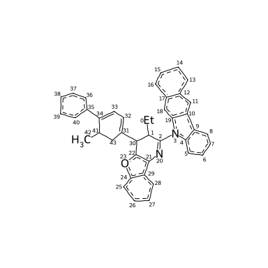 CCC1C(n2c3ccccc3c3cc4ccccc4cc32)=Nc2c(oc3ccccc23)C1C1=CC=C(c2ccccc2)C(C)C1